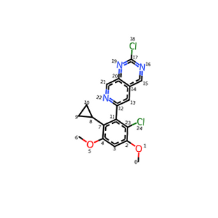 COc1cc(OC)c(C2CC2)c(-c2cc3cnc(Cl)nc3cn2)c1Cl